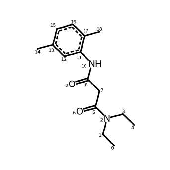 CCN(CC)C(=O)CC(=O)Nc1cc(C)ccc1C